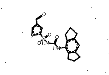 O=Cc1csc(S(=O)(=O)NC(=O)Nc2c3c(cc4c2CCC4)CCC3)c1